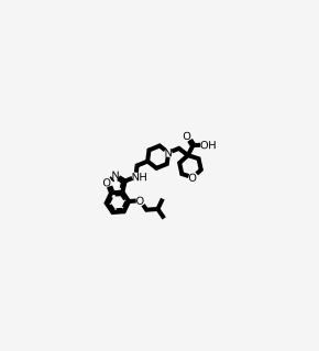 CC(C)COc1cccc2onc(NCC3CCN(CC4(C(=O)O)CCOCC4)CC3)c12